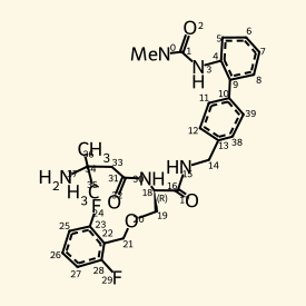 CNC(=O)Nc1ccccc1-c1ccc(CNC(=O)[C@@H](COCc2c(F)cccc2F)NC(=O)CC(C)(C)N)cc1